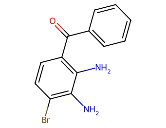 Nc1c(Br)ccc(C(=O)c2ccccc2)c1N